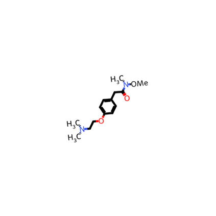 CON(C)C(=O)Cc1ccc(OCCN(C)C)cc1